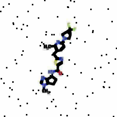 Cc1nc(N2CC3C(C2)C3(F)F)ccc1Cc1ncc(C(=O)N[C@@H]2CCc3c2ncn3C)s1